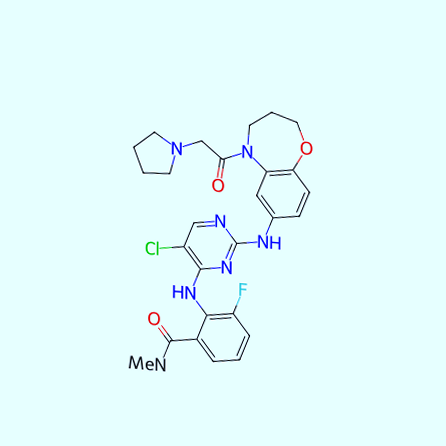 CNC(=O)c1cccc(F)c1Nc1nc(Nc2ccc3c(c2)N(C(=O)CN2CCCC2)CCCO3)ncc1Cl